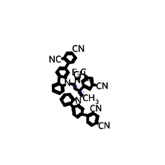 C=N/C(=C\C(=C(\C)n1c2ccccc2c2ccc(-c3ccc(C#N)cc3C#N)cc21)c1cc(C#N)cc(C(F)(F)F)c1)n1c2ccccc2c2ccc(-c3ccc(C#N)cc3C#N)cc21